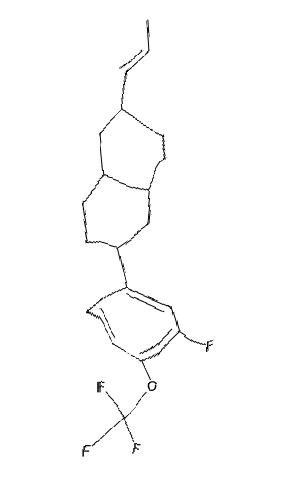 CC=CC1CCC2CC(c3ccc(OC(F)(F)F)c(F)c3)CCC2C1